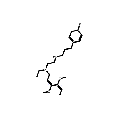 C/C=C(OC)\C(=C/CN(CC)CCNCCCC1=CCC(F)C=C1)OC